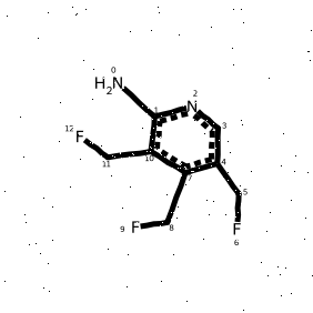 Nc1ncc(CF)c(CF)c1CF